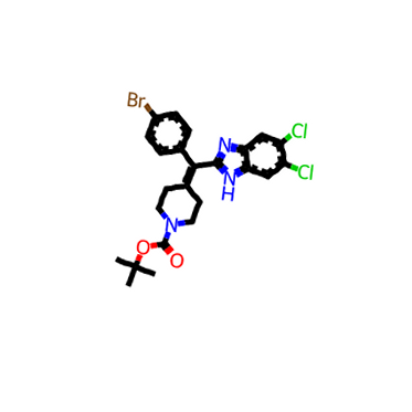 CC(C)(C)OC(=O)N1CCC(=C(c2ccc(Br)cc2)c2nc3cc(Cl)c(Cl)cc3[nH]2)CC1